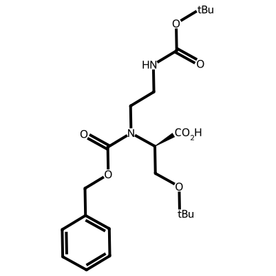 CC(C)(C)OC[C@H](C(=O)O)N(CCNC(=O)OC(C)(C)C)C(=O)OCc1ccccc1